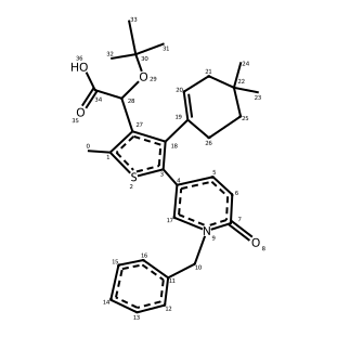 Cc1sc(-c2ccc(=O)n(Cc3ccccc3)c2)c(C2=CCC(C)(C)CC2)c1C(OC(C)(C)C)C(=O)O